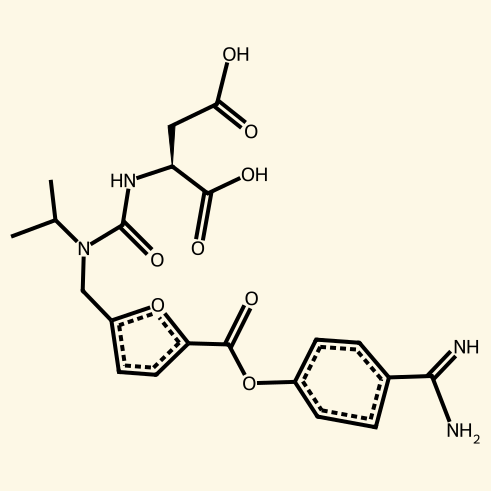 CC(C)N(Cc1ccc(C(=O)Oc2ccc(C(=N)N)cc2)o1)C(=O)N[C@@H](CC(=O)O)C(=O)O